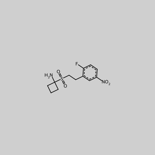 NC1(S(=O)(=O)CCc2cc([N+](=O)[O-])ccc2F)CCC1